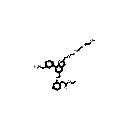 CCOC(=O)Cc1ccccc1OCc1cc(-c2cccc(CN)c2)c2oc(COCCOCCOCCOC)cc2c1